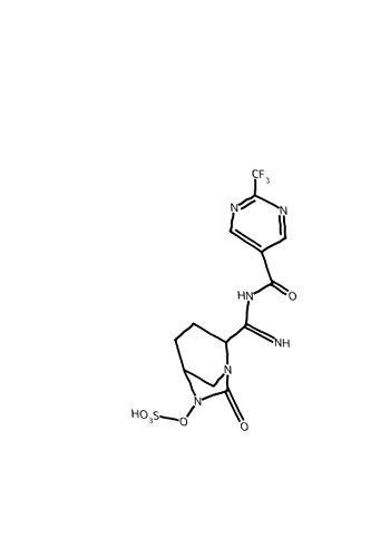 N=C(NC(=O)c1cnc(C(F)(F)F)nc1)C1CCC2CN1C(=O)N2OS(=O)(=O)O